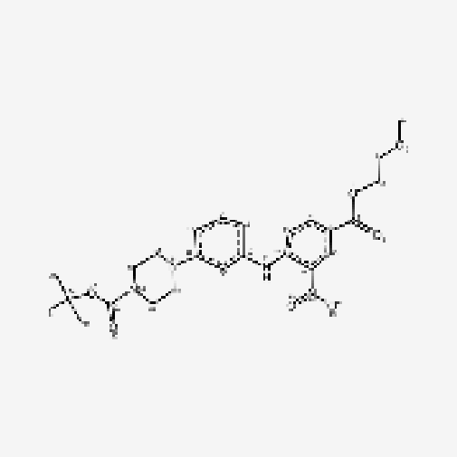 COCCOC(=O)c1ccc(Nc2cccc(N3CCN(C(=O)OC(C)(C)C)CC3)c2)c([N+](=O)[O-])c1